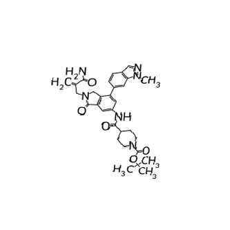 C=C(CN1Cc2c(cc(NC(=O)C3CCN(C(=O)OC(C)(C)C)CC3)cc2-c2ccc3cnn(C)c3c2)C1=O)C(N)=O